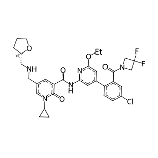 CCOc1cc(-c2ccc(Cl)cc2C(=O)N2CC(F)(F)C2)cc(NC(=O)c2cc(CNC[C@@H]3CCCO3)cn(C3CC3)c2=O)n1